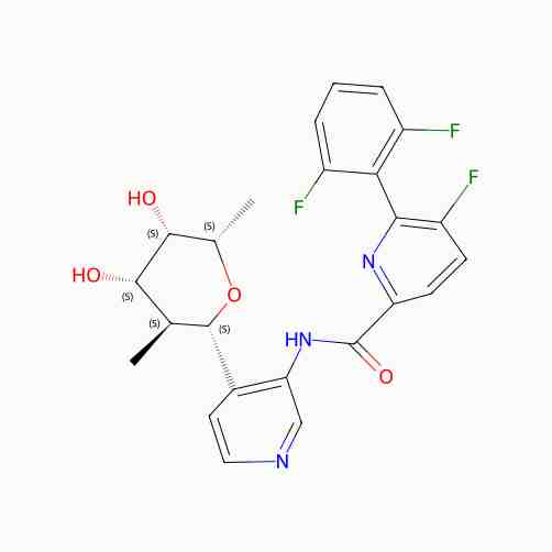 C[C@H]1[C@H](O)[C@H](O)[C@H](C)O[C@@H]1c1ccncc1NC(=O)c1ccc(F)c(-c2c(F)cccc2F)n1